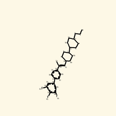 CCCC1CCC(C2CCC(/C=C(\C)c3ccc(-c4cc(F)c(F)c(F)c4)cc3)CC2)CC1